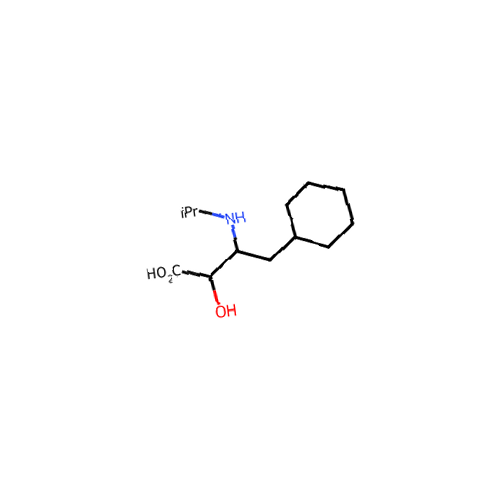 CC(C)NC(CC1CCCCC1)C(O)C(=O)O